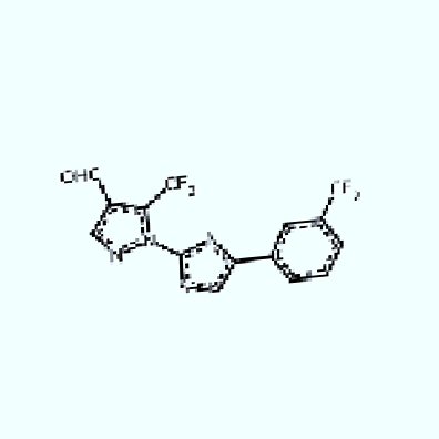 O=Cc1cnn(-c2nc(-c3cccc(C(F)(F)F)c3)cs2)c1C(F)(F)F